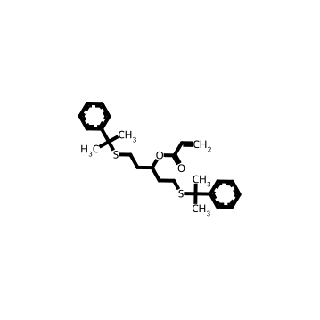 C=CC(=O)OC(CCSC(C)(C)c1ccccc1)CCSC(C)(C)c1ccccc1